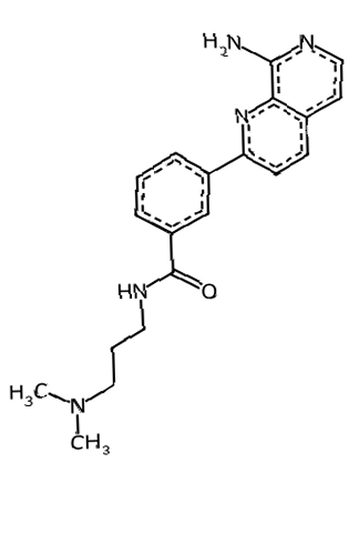 CN(C)CCCNC(=O)c1cccc(-c2ccc3ccnc(N)c3n2)c1